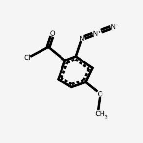 COc1ccc(C(=O)Cl)c(N=[N+]=[N-])c1